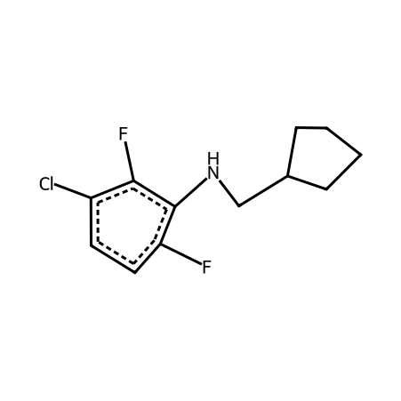 Fc1ccc(Cl)c(F)c1NCC1CCCC1